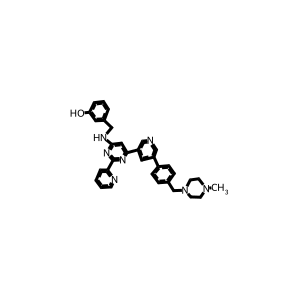 CN1CCN(Cc2ccc(-c3cncc(-c4cc(NCc5cccc(O)c5)nc(-c5ccccn5)n4)c3)cc2)CC1